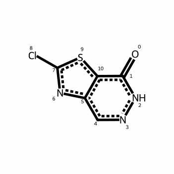 O=c1[nH]ncc2nc(Cl)sc12